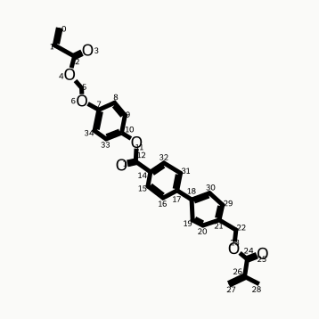 C=CC(=O)OCOc1ccc(OC(=O)c2ccc(-c3ccc(COC(=O)C(=C)C)cc3)cc2)cc1